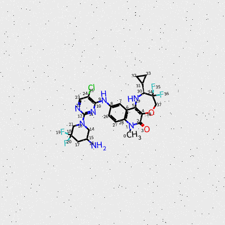 Cn1c(=O)c2c(c3cc(Nc4nc(N5CC(N)CC(F)(F)C5)ncc4Cl)ccc31)N[C@@H](C1CC1)C(F)(F)CO2